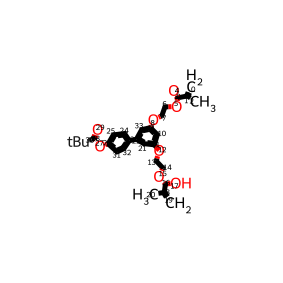 C=C(C)C(=O)OCCOc1cc(OCCOC(O)C(=C)C)cc(-c2ccc(OC(=O)C(C)(C)C)cc2)c1